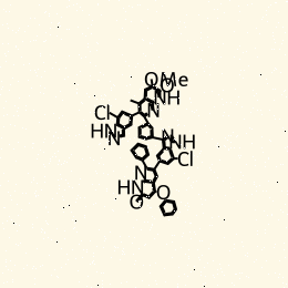 COc1cc2c(C)c(-c3cc(Cl)c4[nH]ncc4c3)c(-c3cccc(-c4n[nH]c5c(Cl)cc(-c6cc7c(Oc8ccccc8)cc(=O)[nH]c7nc6-c6ccccc6)cc45)c3)nc2[nH]c1=O